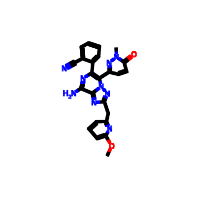 COc1cccc(Cc2nc3c(N)nc(-c4ccccc4C#N)c(-c4ccc(=O)n(C)n4)n3n2)n1